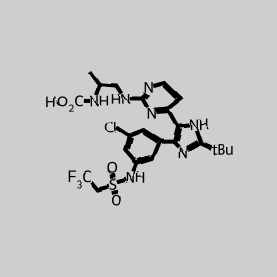 CC(CNc1nccc(-c2[nH]c(C(C)(C)C)nc2-c2cc(Cl)cc(NS(=O)(=O)CC(F)(F)F)c2)n1)NC(=O)O